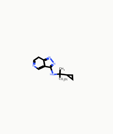 CCOC(=O)C(C)(NC1=NN=C2CC=NC=C21)C1CC1